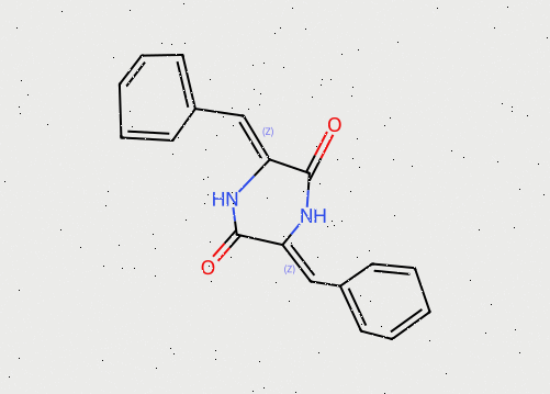 O=c1[nH]/c(=C\c2ccccc2)c(=O)[nH]/c1=C\c1ccccc1